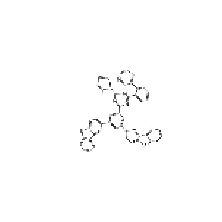 Cc1ccccc1-c1nc(-c2cc(-c3ccc4sc5ccccc5c4c3)cc(-c3ccc4sc5ccccc5c4c3)c2)nc(-c2ccccc2-c2cccnc2)n1